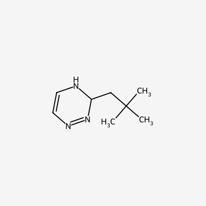 CC(C)(C)CC1N=NC=CN1